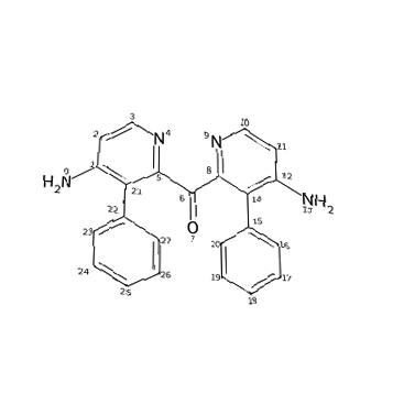 Nc1ccnc(C(=O)c2nccc(N)c2-c2ccccc2)c1-c1ccccc1